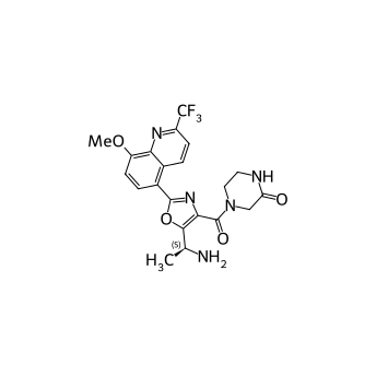 COc1ccc(-c2nc(C(=O)N3CCNC(=O)C3)c([C@H](C)N)o2)c2ccc(C(F)(F)F)nc12